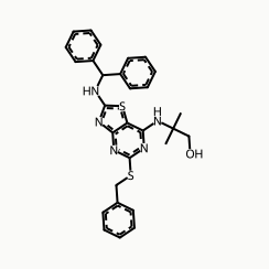 CC(C)(CO)Nc1nc(SCc2ccccc2)nc2nc(NC(c3ccccc3)c3ccccc3)sc12